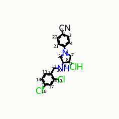 Cl.N#Cc1ccc(N2CCC(NCc3ccc(Cl)cc3Cl)C2)cc1